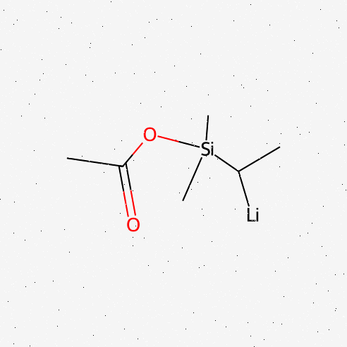 [Li][CH](C)[Si](C)(C)OC(C)=O